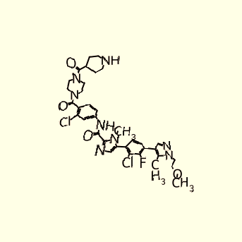 COCCn1ncc(-c2ccc(-c3cnc(C(=O)Nc4ccc(C(=O)N5CCN(C(=O)C6CCNCC6)CC5)c(Cl)c4)n3C)c(Cl)c2F)c1C